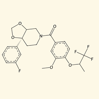 COc1cc(C(=O)N2CC[C@@]3(c4cccc(F)c4)OCOC3C2)ccc1OC(C)C(F)(F)F